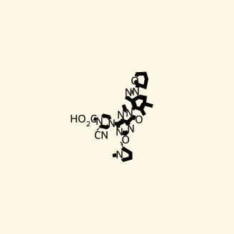 Cc1cc2c(cnn2C2CCCCO2)c(-n2c(C)nc3c(N4CCN(C(=O)O)[C@@H](CC#N)C4)nc(OC[C@@H]4CCCN4C)nc3c2=O)c1C